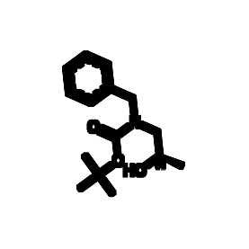 C[C@@H](O)CN(Cc1ccccc1)C(=O)OC(C)(C)C